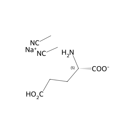 CC#N.CC#N.N[C@@H](CCC(=O)O)C(=O)[O-].[Na+]